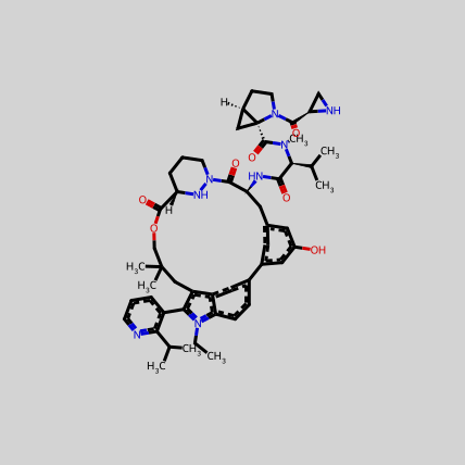 CCn1c(-c2cccnc2C(C)C)c2c3cc(ccc31)-c1cc(O)cc(c1)C[C@H](NC(=O)[C@H](C(C)C)N(C)C(=O)[C@]13C[C@H]1CCN3C(=O)[C@H]1CN1)C(=O)N1CCC[C@H](N1)C(=O)OCC(C)(C)C2